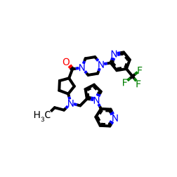 CCCN(Cc1cccn1-c1cccnc1)C1CCC(C(=O)N2CCN(c3cc(C(F)(F)F)ccn3)CC2)C1